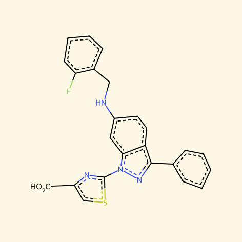 O=C(O)c1csc(-n2nc(-c3ccccc3)c3ccc(NCc4ccccc4F)cc32)n1